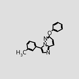 Cc1cccc(-c2cnc3ccc(Oc4ccccc4)nn23)c1